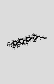 C=CCCC1COC(c2ccc(-c3ccc(-c4ccc(CC)c(F)c4F)cc3)c(F)c2)OC1